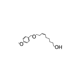 COc1ccc(COCC/C=C\CCCCCO)cc1